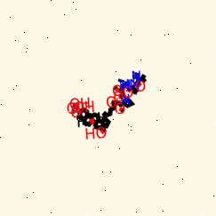 C=C(CCCC(=O)[C@H](C)[C@@H](OC)C1CCCN1C(=O)C[C@@H](OC)[C@H](CC)N(C)C(=O)[C@@H](NC(=O)[C@H](C(C)C)N(C)C)C(C)C)[C@@H]1CC[C@]2(CO)CC[C@]3(C)C(CCC4[C@@]5(C)CC[C@H](OP(=O)(O)O)C(C)(C)[C@@H]5CC[C@]43C)[C@@H]12